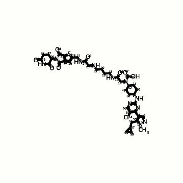 Cn1ncc(-c2nc(N[C@H]3CC[C@H](N(CC(=O)NCCCCNCC(=O)NCc4cc5c(s4)C(=O)N(C4CCC(=O)NC4=O)C5=O)C(=O)O)CC3)ncc2Cl)c1CC1CC1